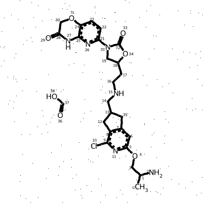 CC(N)COc1cc2c(c(Cl)n1)CC(CNCCC1CN(c3ccc4c(n3)NC(=O)CO4)C(=O)O1)C2.O=CO